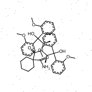 COc1ccccc1C(O)(c1ccccc1OC)[C@@H](C)N(C(=O)C1(C(N)=O)CCCCC1)[C@H](C)C(O)(c1ccccc1OC)c1ccccc1OC